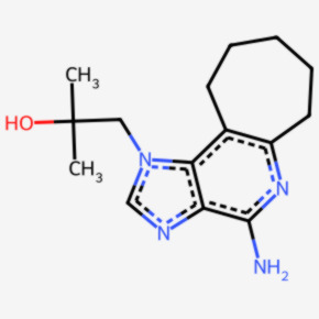 CC(C)(O)Cn1cnc2c(N)nc3c(c21)CCCCC3